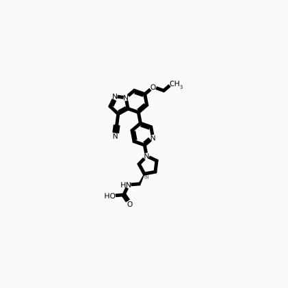 CCOc1cc(-c2ccc(N3CC[C@@H](CNC(=O)O)C3)nc2)c2c(C#N)cnn2c1